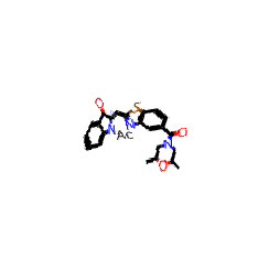 CC(=O)N1/C(=C\c2nc3cc(C(=O)N4CC(C)OC(C)C4)ccc3s2)C(=O)c2ccccc21